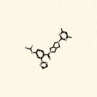 Cc1cc(C)nc(N2CC3CN(C(=O)c4ccc(OC(F)F)cc4-n4nccn4)CC3C2)n1